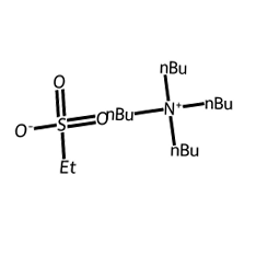 CCCC[N+](CCCC)(CCCC)CCCC.CCS(=O)(=O)[O-]